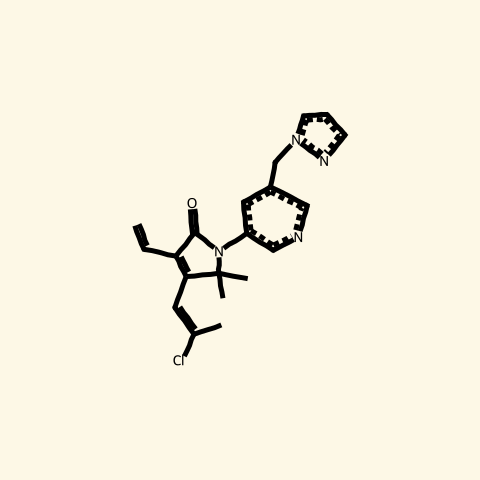 C=CC1=C(/C=C(\C)Cl)C(C)(C)N(c2cncc(Cn3cccn3)c2)C1=O